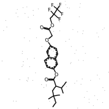 CCC(C)(C)CC(C(=O)Oc1ccc2cc(OCC(=O)OCC(F)(F)C(F)(F)F)ccc2c1)C(C)C